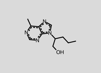 CCCC(CO)n1cnc2c(C)ncnc21